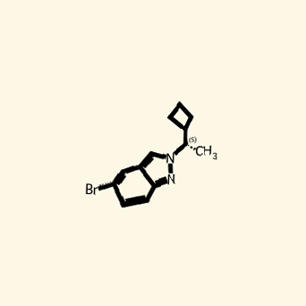 C[C@@H](C1CCC1)n1cc2cc(Br)ccc2n1